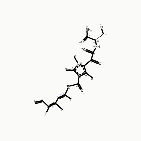 C=C/C(F)=C(C)\C=C(/C)NC(=O)c1c(C)c(C(=O)C(=O)N[C@@H](CO)C(N)=O)n(C)c1C